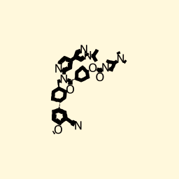 COc1ccc([C@H]2CC[C@H](CN(c3cc(-c4cnn(C(C)C)c4)ccn3)C(=O)[C@H]3CC[C@H](OC(=O)N4CC(N(C)C)C4)CC3)CC2)cc1C#N